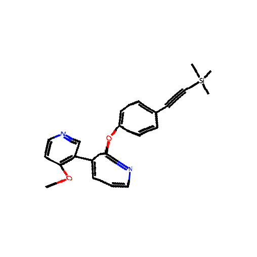 COc1ccncc1-c1cccnc1Oc1ccc(C#C[Si](C)(C)C)cc1